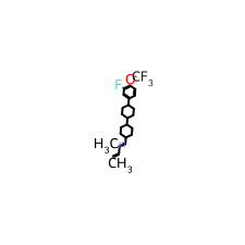 CC=C/C(C)=C/C1CCC(C2CCC(c3ccc(OC(F)(F)F)c(F)c3)CC2)CC1